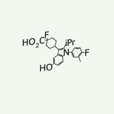 Cc1cc(-n2c(C(C)C)c(C3CCC(F)(C(=O)O)CC3)c3cc(O)ccc32)ccc1F